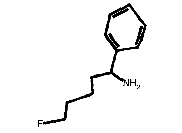 NC(CCCCF)c1ccccc1